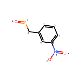 O=PCc1cccc([N+](=O)[O-])c1